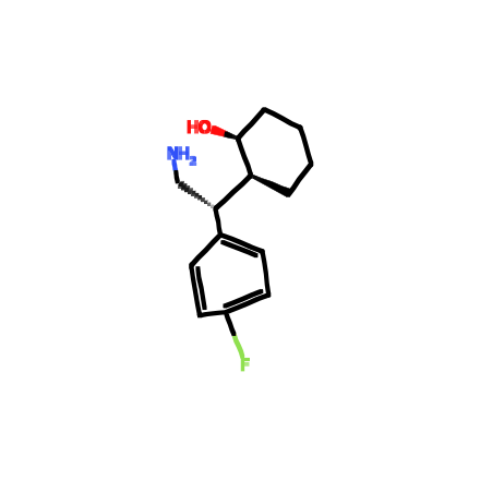 NC[C@@H](c1ccc(F)cc1)[C@@H]1CCCC[C@@H]1O